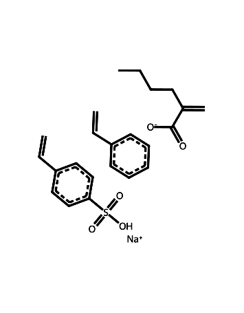 C=C(CCCC)C(=O)[O-].C=Cc1ccc(S(=O)(=O)O)cc1.C=Cc1ccccc1.[Na+]